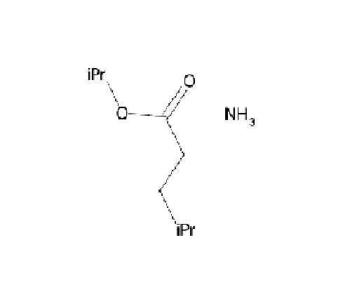 CC(C)CCC(=O)OC(C)C.N